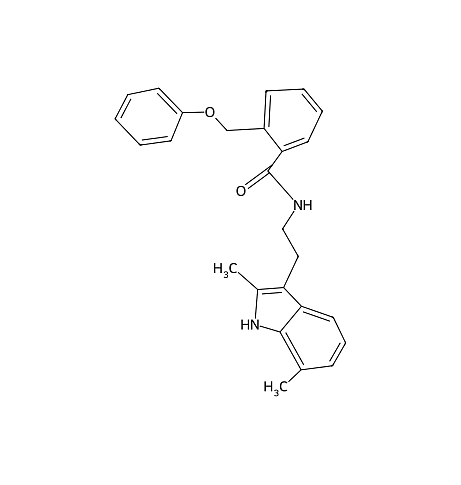 Cc1[nH]c2c(C)cccc2c1CCNC(=O)c1ccccc1COc1ccccc1